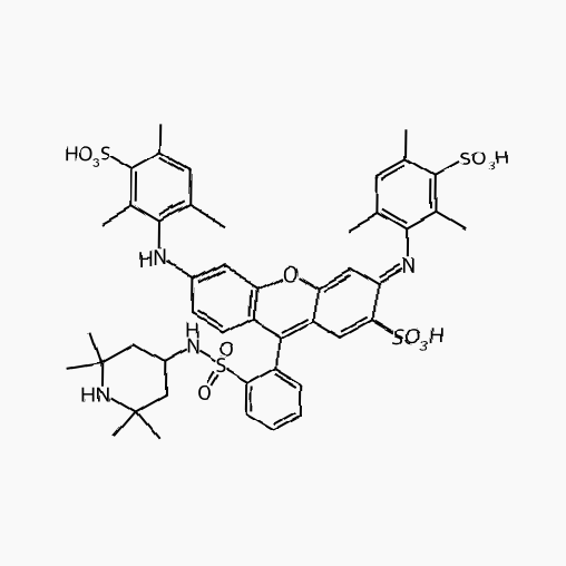 Cc1cc(C)c(S(=O)(=O)O)c(C)c1/N=c1\cc2oc3cc(Nc4c(C)cc(C)c(S(=O)(=O)O)c4C)ccc3c(-c3ccccc3S(=O)(=O)NC3CC(C)(C)NC(C)(C)C3)c-2cc1S(=O)(=O)O